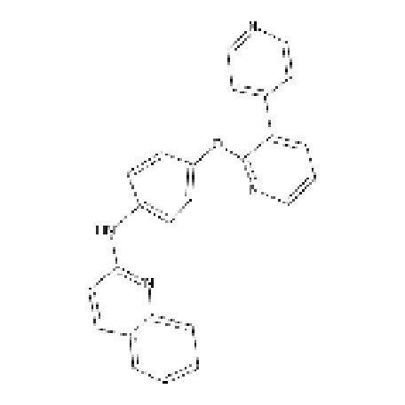 c1cnc(Oc2ccc(Nc3ccc4ccccc4n3)cc2)c(-c2ccncc2)c1